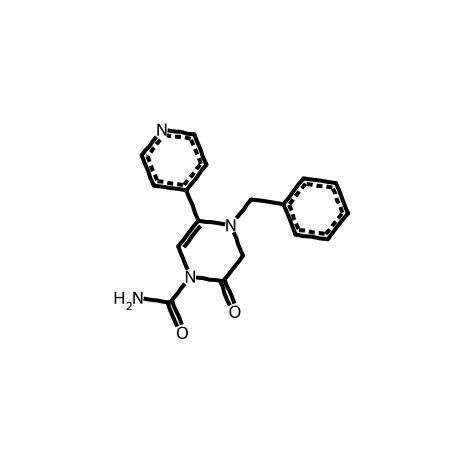 NC(=O)N1C=C(c2ccncc2)N(Cc2ccccc2)CC1=O